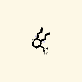 C=C/C=c1/c(NC(C)C)ccn/c1=C/C=C